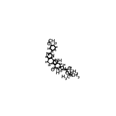 COc1cccc(-c2ncc3c(n2)-c2[nH]c4c(c2CC3)C(=O)NC2(C4)CN(C(=O)OC(C)(C)C)C2)c1